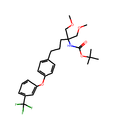 COCC(CCCc1ccc(Oc2cccc(C(F)(F)F)c2)cc1)(COC)NC(=O)OC(C)(C)C